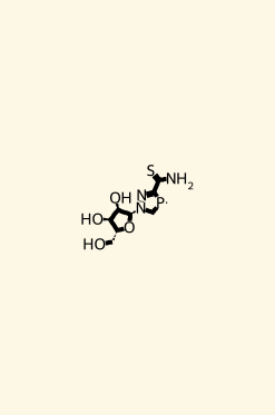 NC(=S)C1=NN([C@@H]2O[C@H](CO)[C@@H](O)[C@H]2O)C[P]1